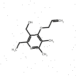 C=CCOc1c(C)c(C)nc(CC)c1CO